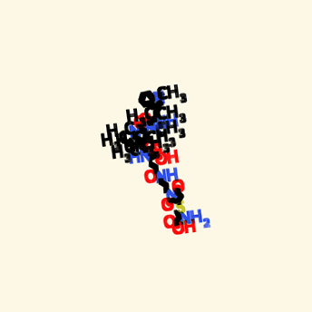 CN[C@H](C(=O)NC(C(=O)N(C)[C@H](/C=C(\C)C(=O)N[C@H](CCC(=O)NCCCN1C(=O)CC(SC[C@H](N)C(=O)O)C1=O)C(=O)O)C(C)C)C(C)(C)C)C(C)(C)c1cn(C)c2ccccc12